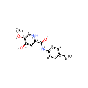 CCCCOc1c[nH]c(C(=O)Nc2ccc(C=O)cc2)cc1=O